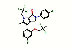 Cc1c(-c2ccc(F)cc2OCC(C)(F)F)c2c(n1CC(F)(F)F)C(=O)N(c1ccc(F)cc1)C2